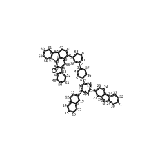 c1cc(-c2ccc(-c3nc(-c4ccc5ccccc5c4)nc(-c4ccc5c(c4)sc4ccccc45)n3)cc2)cc(-c2ccc3c4c(c5oc6ccccc6c5cc24)-c2ccccc2-3)c1